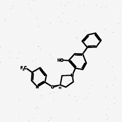 Oc1cc(-c2ccccc2)ccc1N1CC[C@@H](Oc2ccc(C(F)(F)F)cn2)C1